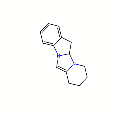 C1=C2CCCCN2C2Cc3ccccc3N12